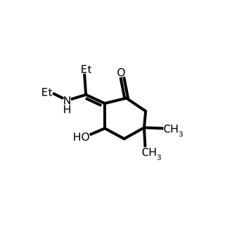 CCN/C(CC)=C1/C(=O)CC(C)(C)CC1O